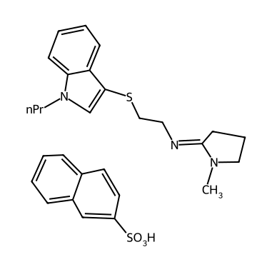 CCCn1cc(SCCN=C2CCCN2C)c2ccccc21.O=S(=O)(O)c1ccc2ccccc2c1